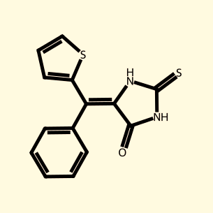 O=C1NC(=S)NC1=C(c1ccccc1)c1cccs1